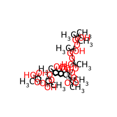 CO[C@H](C(=O)C(C)=O)[C@@H]1Cc2cc3cc(O[C@H]4CC(O[C@H]5CC(O)[C@H](O)C(C)O5)[C@H](O)C(C)O4)c(C)c(O)c3c(O)c2C(=O)[C@H]1OCOC(C)[C@@H](O)COCOC(C)[C@H](O)COC(C)OC(C)[C@H](C)O